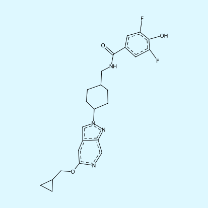 O=C(NCC1CCC(n2cc3cc(OCC4CC4)ncc3n2)CC1)c1cc(F)c(O)c(F)c1